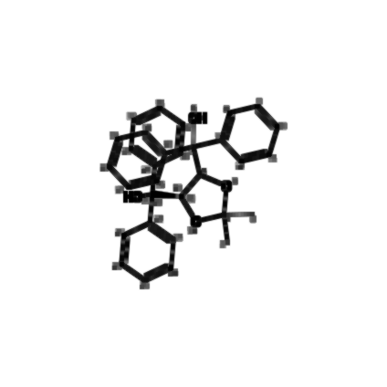 CC1(C)OC(C(O)(c2ccccc2)c2ccccc2)[C@H](C(O)(c2ccccc2)c2ccccc2)O1